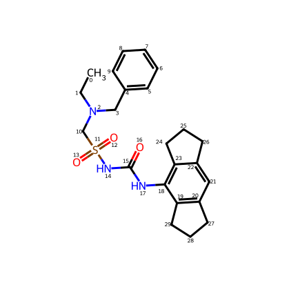 CCN(Cc1ccccc1)CS(=O)(=O)NC(=O)Nc1c2c(cc3c1CCC3)CCC2